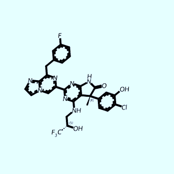 C[C@]1(c2ccc(Cl)c(O)c2)C(=O)Nc2nc(-c3cn4ccnc4c(Cc4cccc(F)c4)n3)nc(NC[C@H](O)C(F)(F)F)c21